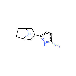 Nc1ccc(C2CC3CCC(C2)N3)[nH]1